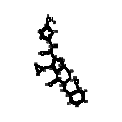 Cc1nnc(NC(=O)c2nn3c(c2C2CC2)C(=O)N(Cc2ccccc2Cl)CC3)s1